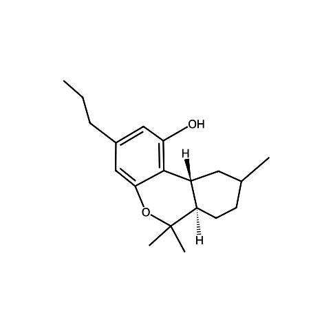 CCCc1cc(O)c2c(c1)OC(C)(C)[C@@H]1CCC(C)C[C@@H]21